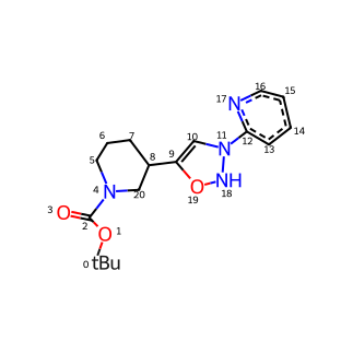 CC(C)(C)OC(=O)N1CCCC(C2=CN(c3ccccn3)NO2)C1